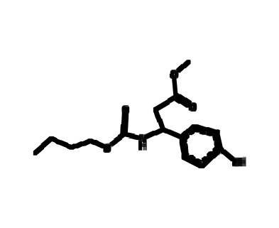 CCCCOC(=O)NC(CC(=O)OC)c1ccc(O)cc1